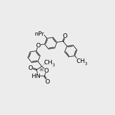 CCCc1cc(C(=O)c2ccc(C)cc2)ccc1Oc1cccc([C@@]2(C)OC(=O)NC2=O)c1